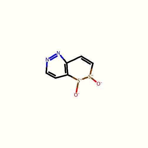 [O-][S+]1C=Cc2nnccc2[S+]1[O-]